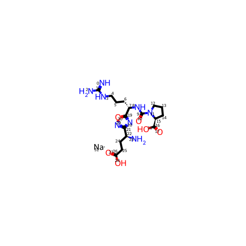 N=C(N)NCCC[C@H](NC(=O)N1CCC[C@H]1C(=O)O)c1nc([C@@H](N)CCC(=O)O)no1.[Na]